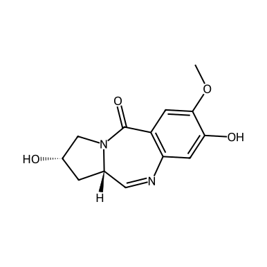 COc1cc2c(cc1O)N=C[C@@H]1C[C@H](O)CN1C2=O